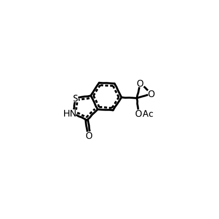 CC(=O)OC1(c2ccc3s[nH]c(=O)c3c2)OO1